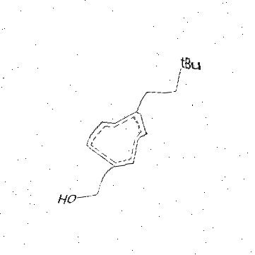 CC(C)(C)CCc1ccc(CO)cc1